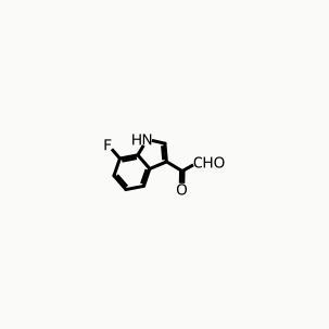 O=CC(=O)c1c[nH]c2c(F)cccc12